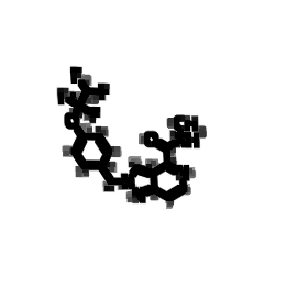 CNC(=O)c1nccc2nn(Cc3ccc(OC(F)(F)C(F)F)cc3)cc12